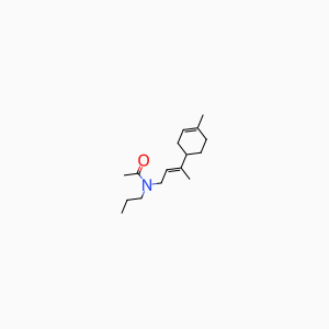 CCCN(C/C=C(\C)C1CC=C(C)CC1)C(C)=O